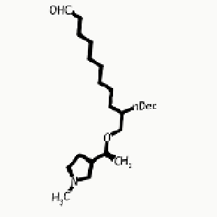 C=C(OCC(CCCCCCCCC=O)CCCCCCCCCC)C1CCN(C)C1